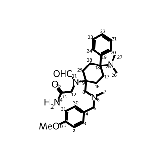 COc1ccc(CN(C)CC2(N(C=O)CC(N)=O)CCC(c3ccccc3)(N(C)C)CC2)cc1